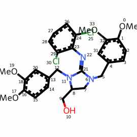 COc1ccc(CN2CC(CO)N(Cc3ccc(OC)c(OC)c3)C2=Nc2c(Cl)cccc2Cl)cc1OC